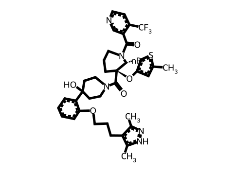 CCC[C@H]1N(C(=O)c2cnccc2C(F)(F)F)CCC[C@@]1(Oc1csc(C)c1)C(=O)N1CCC(O)(c2ccccc2OCCCc2c(C)n[nH]c2C)CC1